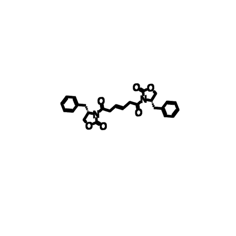 O=C(C/C=C/CC(=O)N1C(=O)OC[C@@H]1Cc1ccccc1)N1C(=O)OC[C@@H]1Cc1ccccc1